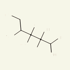 CCC(C)(C(O)C(C)(C)C)C(C)(C)C(CC(C)(C)C)OC(C)=O